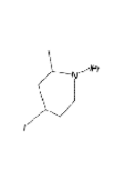 CC(C)N1CCC(I)CC1C